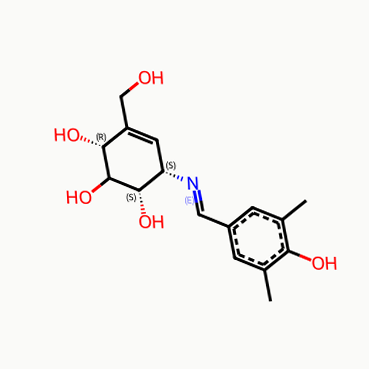 Cc1cc(/C=N/[C@H]2C=C(CO)[C@@H](O)C(O)[C@H]2O)cc(C)c1O